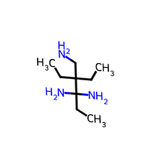 CCC(N)(N)C(CC)(CC)CN